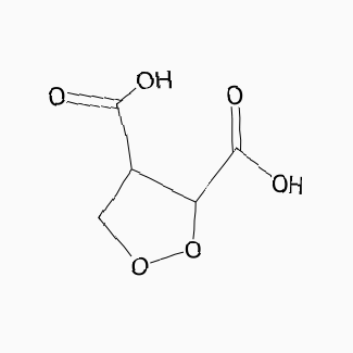 O=C(O)C1COOC1C(=O)O